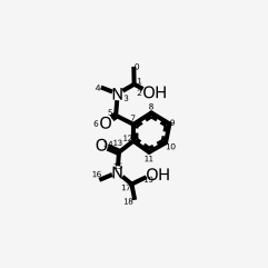 CC(O)N(C)C(=O)c1ccccc1C(=O)N(C)C(C)O